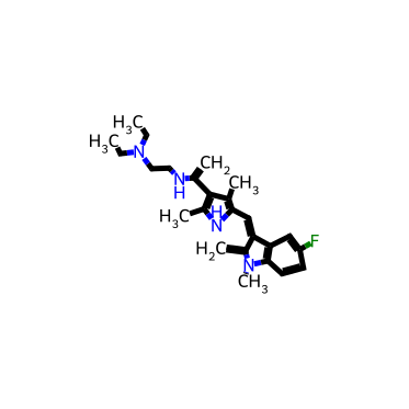 C=C(NCCN(CC)CC)c1c(C)[nH]c(/C=c2\c(=C)n(C)c3ccc(F)cc23)c1C